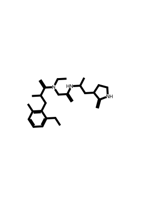 C=C(CN(CC)C(=C)C(C)Cc1c(C)cccc1CC)NC(C)CC1CCNC1=C